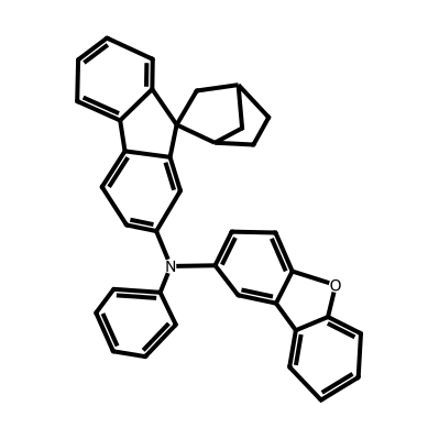 c1ccc(N(c2ccc3c(c2)C2(CC4CCC2C4)c2ccccc2-3)c2ccc3oc4ccccc4c3c2)cc1